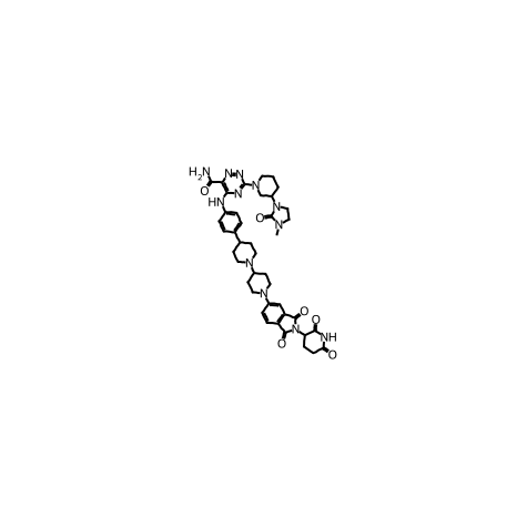 CN1CCN(C2CCCN(c3nnc(C(N)=O)c(Nc4ccc(C5CCN(C6CCN(c7ccc8c(c7)C(=O)N(C7CCC(=O)NC7=O)C8=O)CC6)CC5)cc4)n3)C2)C1=O